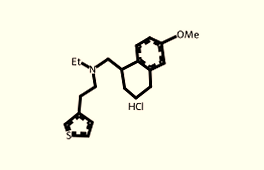 CCN(CCc1ccsc1)CC1CCCc2cc(OC)ccc21.Cl